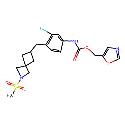 CS(=O)(=O)N1CC2(CC(Cc3ccc(NC(=O)OCc4cnco4)cc3F)C2)C1